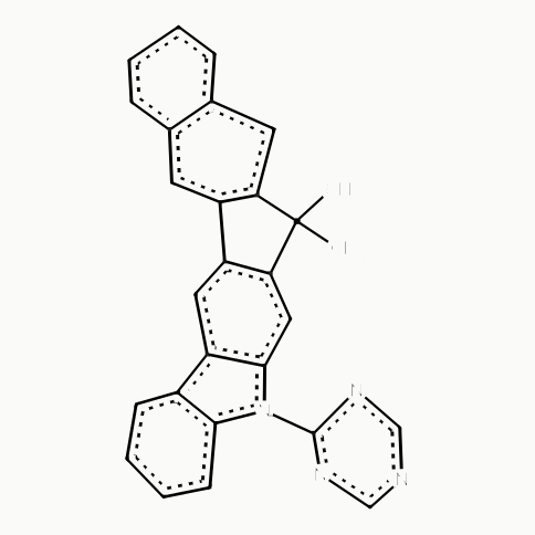 CC1(C)c2cc3ccccc3cc2-c2cc3c4ccccc4n(-c4ncncn4)c3cc21